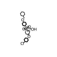 O=C(O)[C@@H]1C[C@H](Oc2ccc(Cl)cc2)CCN1S(=O)(=O)c1ccc(OCC2CCCCC2)cc1